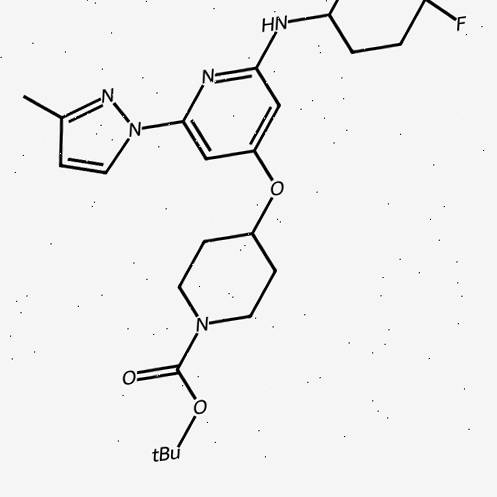 Cc1ccn(-c2cc(OC3CCN(C(=O)OC(C)(C)C)CC3)cc(NC3CCC(F)(F)CC3)n2)n1